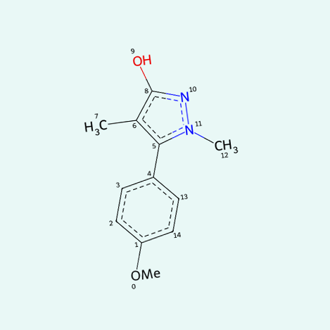 COc1ccc(-c2c(C)c(O)nn2C)cc1